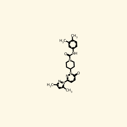 Cc1cc(C)n(-c2ccc(=O)n(C3CCN(C(=O)Nc4ccc(C)c(C)c4)CC3)n2)n1